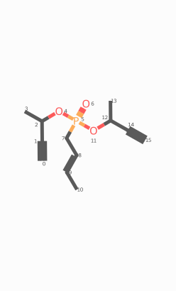 C#CC(C)OP(=O)(CC=CC)OC(C)C#C